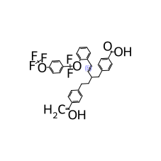 C=C(O)c1ccc(CCC(/C=C/c2ccccc2OC(F)(F)c2ccc(OC(F)(F)F)cc2)Cc2ccc(C(=O)O)cc2)cc1